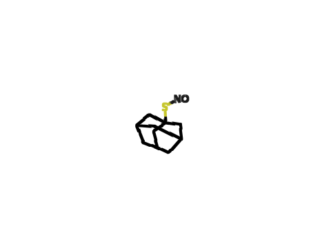 O=NSC12CC3CC(CC(C3)C1)C2